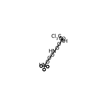 O=C(NCCOCCOCCNCCOCCOCCOCCNC(c1ccccc1)(c1ccccc1)c1ccccc1)OCC(Cl)(Cl)Cl